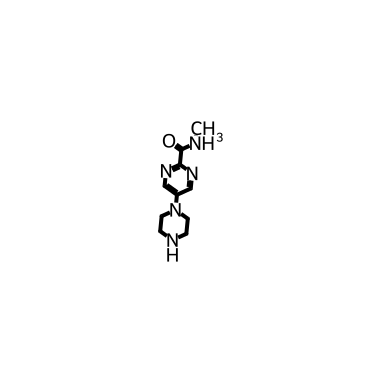 CNC(=O)c1ncc(N2CCNCC2)cn1